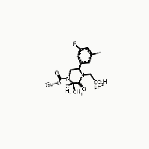 CC(C)(C)OC(=O)N1CC(c2cc(F)cc(F)c2)N(CC(=O)O)C(=O)C1(C)C.[LiH]